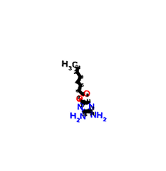 CCCCCCCC(=O)Oc1cnc(N)c(N)n1